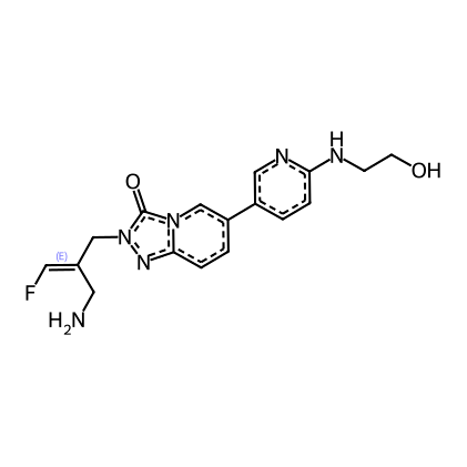 NC/C(=C\F)Cn1nc2ccc(-c3ccc(NCCO)nc3)cn2c1=O